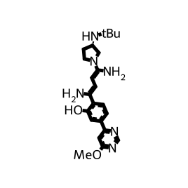 COc1cc(-c2ccc(/C(N)=C/C=C(\N)N3CC[C@H](NC(C)(C)C)C3)c(O)c2)ncn1